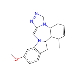 COc1ccc2c(c1)N1C=C3N=NCN3C3CC=CC(C)C3C1C2